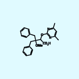 COC(Cc1ccccc1)(Cc1ccccc1)C(Oc1nc(C)cc(C)n1)C(=O)O